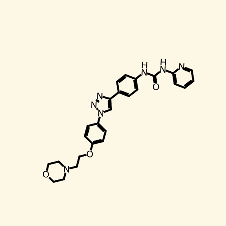 O=C(Nc1ccc(-c2cn(-c3ccc(OCCN4CCOCC4)cc3)nn2)cc1)Nc1ccccn1